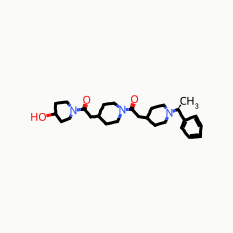 C[C@H](c1ccccc1)N1CCC(CC(=O)N2CCC(CC(=O)N3CCC(O)CC3)CC2)CC1